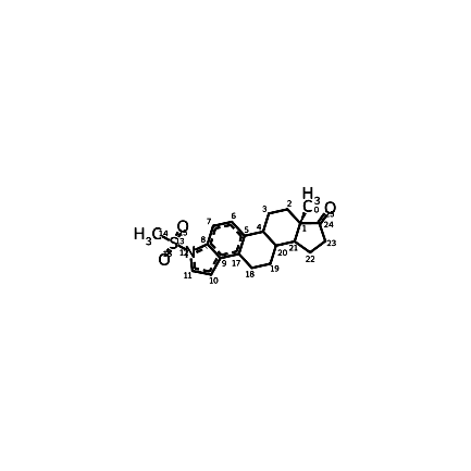 C[C@]12CCC3c4ccc5c(ccn5S(C)(=O)=O)c4CCC3C1CCC2=O